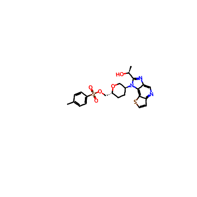 Cc1ccc(S(=O)(=O)OC[C@H]2CC[C@H](n3c([C@H](C)O)nc4cnc5ccsc5c43)CO2)cc1